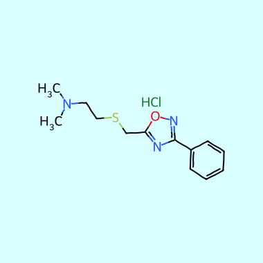 CN(C)CCSCc1nc(-c2ccccc2)no1.Cl